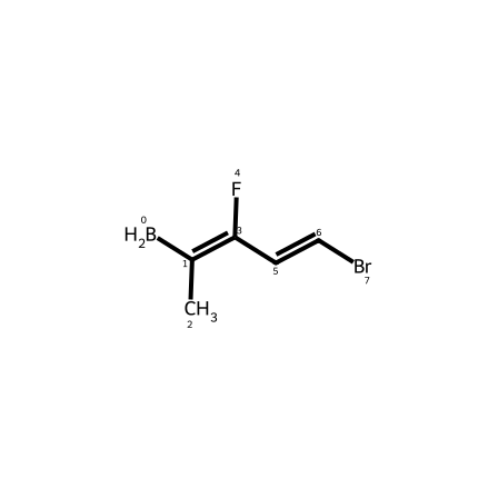 B/C(C)=C(F)/C=C/Br